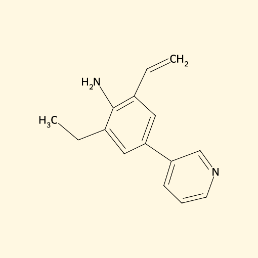 C=Cc1cc(-c2cccnc2)cc(CC)c1N